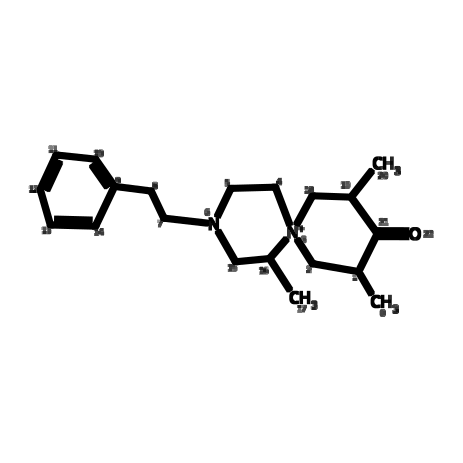 CC1C[N+]2(CCN(CCc3ccccc3)CC2C)CC(C)C1=O